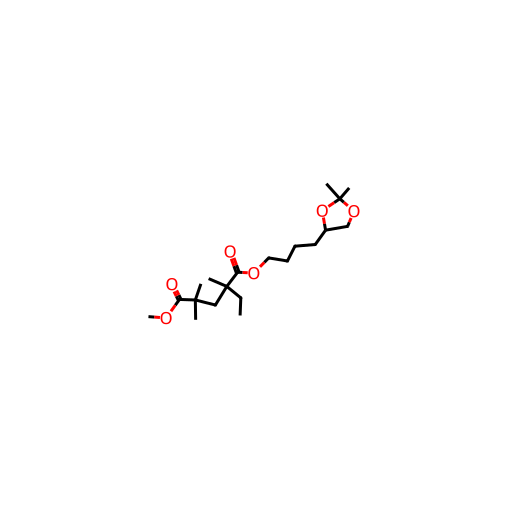 CCC(C)(CC(C)(C)C(=O)OC)C(=O)OCCCCC1COC(C)(C)O1